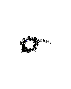 NCCOCCNC(=O)[C@@H]1CCNC(=O)/C=C/C(=O)N2CCCC[C@H]2CC(=O)N[C@@H](Cc2ccco2)C(=O)NCc2ccccc2CC(=O)N1